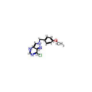 COc1ccc(Cn2cc3ncnc(Cl)c3n2)cc1